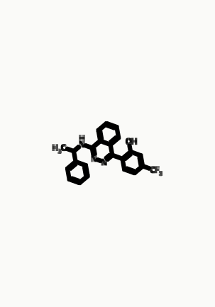 CC(Nc1nnc(-c2ccc(C(F)(F)F)cc2O)c2ccccc12)c1ccccc1